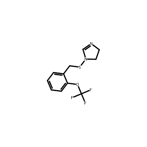 FC(F)(F)Oc1ccccc1CSN1C=NCC1